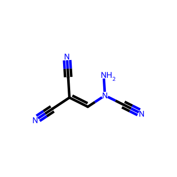 N#CC(C#N)=CN(N)C#N